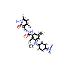 CCN(c1cc(C(C)C)cc(C(=O)NCc2c(C)cc(C)[nH]c2=O)c1C)C1CCC(N(C)C)CC1